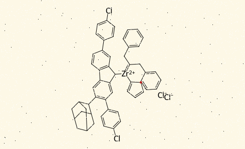 Clc1ccc(-c2ccc3c(c2)[CH]([Zr+2]([C]2=CC=CC2)=[C](Cc2ccccc2)Cc2ccccc2)c2cc(-c4ccc(Cl)cc4)c(C4C5CC6CC(C5)CC4C6)cc2-3)cc1.[Cl-].[Cl-]